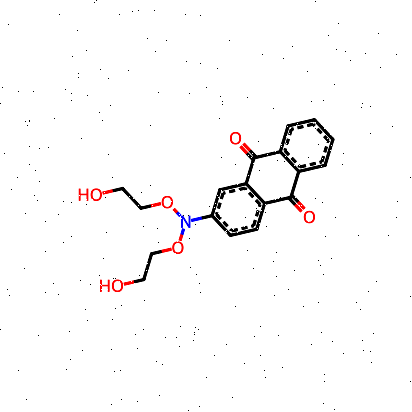 O=C1c2ccccc2C(=O)c2cc(N(OCCO)OCCO)ccc21